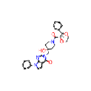 O=C([C@@H]1OCCO[C@@H]1c1ccccc1)N1CCC(O)(Cn2cnc3c(ccn3-c3ccccc3)c2=O)CC1